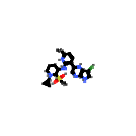 Cc1ccc(-c2cnc3[nH]cc(Cl)c3n2)c(NC2CCCN(C3CC3)C2S(C)(=O)=O)n1